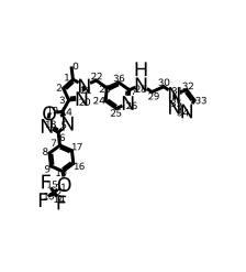 Cc1cc(-c2nc(-c3ccc(OC(F)(F)F)cc3)no2)nn1Cc1ccnc(NCCn2ccnn2)c1